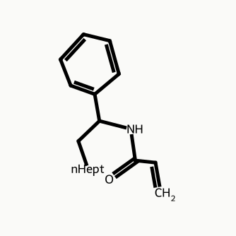 C=CC(=O)NC(CCCCCCCC)c1ccccc1